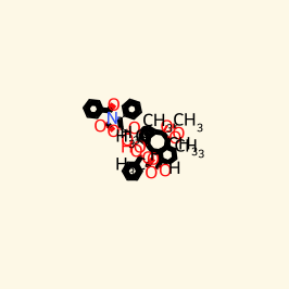 CC(=O)O[C@H]1C(=O)[C@@]2(C)[C@H]([C@H](OC(=O)c3ccccc3)[C@]3(O)CC(OC(=O)[C@@H]4OC(=O)N(C(=O)c5ccccc5)[C@@H]4c4ccccc4)C(C)=C1C3(C)C)[C@]1(OC(C)=O)CO[C@@H]1C[C@@H]2C